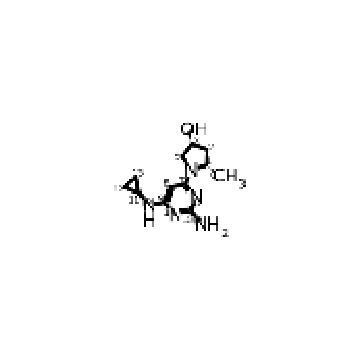 C[C@H]1C[C@@H](O)CN1c1cc(NC2CC2)nc(N)n1